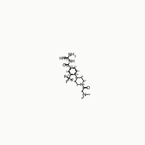 CN(C)CC(=O)N1CCC(c2ccc(C(=O)NC(=N)N)cc2C(F)(F)F)CC1